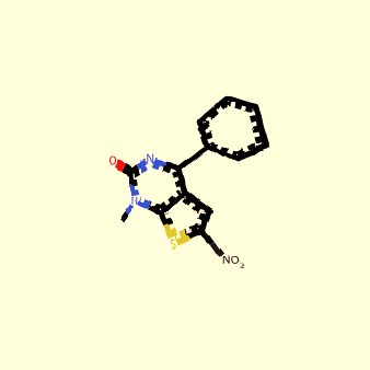 Cn1c(=O)nc(-c2ccccc2)c2cc([N+](=O)[O-])sc21